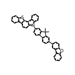 CC1(C)c2cc(-c3ccc4oc5ccccc5c4c3)ccc2-c2ccc(-n3c4ccccc4c4c5sc6ccccc6c5ccc43)cc21